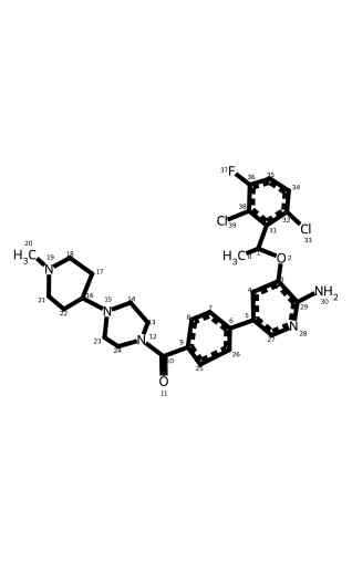 CC(Oc1cc(-c2ccc(C(=O)N3CCN(C4CCN(C)CC4)CC3)cc2)cnc1N)c1c(Cl)ccc(F)c1Cl